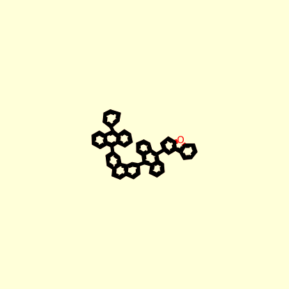 c1ccc(-c2c3ccccc3c(-c3ccc4ccc5ccc(-c6c7ccccc7c(-c7ccc8oc9ccccc9c8c7)c7ccccc67)cc5c4c3)c3ccccc23)cc1